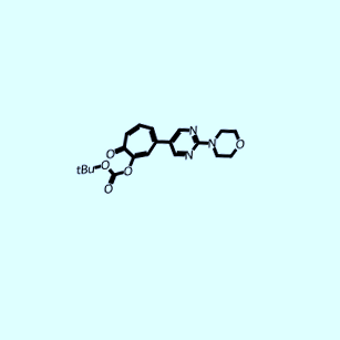 CC(C)(C)OC(=O)Oc1cc(-c2cnc(N3CCOCC3)nc2)cccc1=O